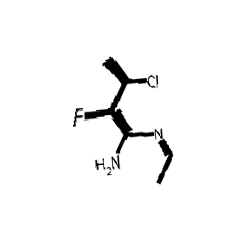 C=C(Cl)/C(F)=C(N)\N=C/C